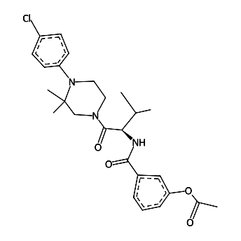 CC(=O)Oc1cccc(C(=O)N[C@@H](C(=O)N2CCN(c3ccc(Cl)cc3)C(C)(C)C2)C(C)C)c1